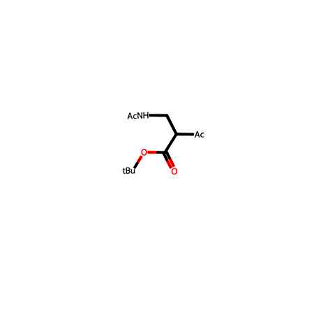 CC(=O)NCC(C(C)=O)C(=O)OC(C)(C)C